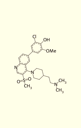 COc1cc(-c2ccc3ncc(S(C)(=O)=O)c(N4CCC(CCN(C)C)CC4)c3c2)cc(Cl)c1O